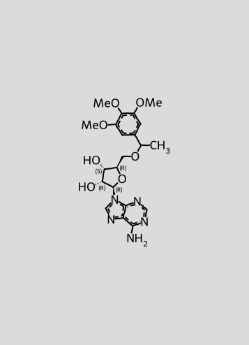 COc1cc(C(C)OC[C@H]2O[C@@H](n3cnc4c(N)ncnc43)[C@H](O)[C@@H]2O)cc(OC)c1OC